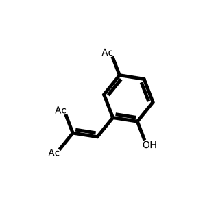 CC(=O)C(=Cc1cc(C(C)=O)ccc1O)C(C)=O